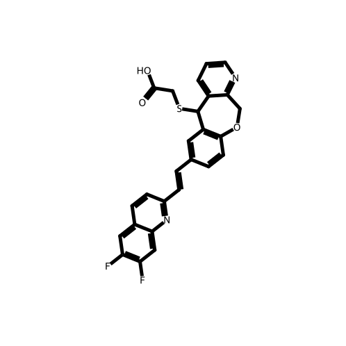 O=C(O)CSC1c2cc(/C=C/c3ccc4cc(F)c(F)cc4n3)ccc2OCc2ncccc21